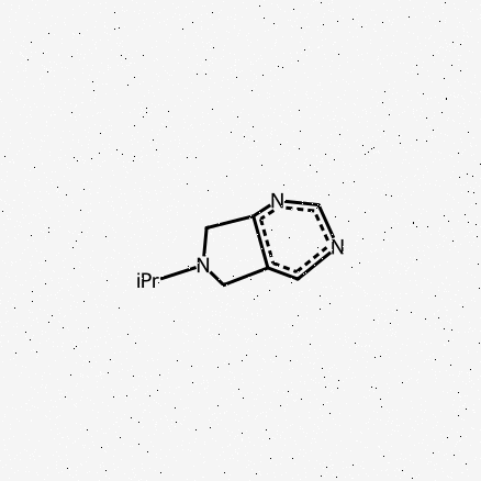 CC(C)N1Cc2cncnc2C1